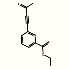 CCOC(=O)c1cccc(C#CC(C)=O)n1